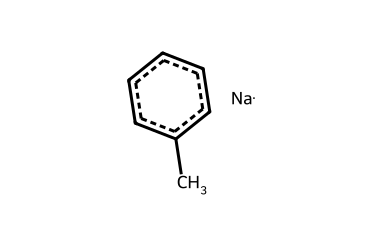 Cc1ccccc1.[Na]